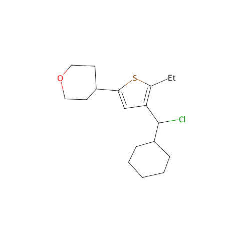 CCc1sc(C2CCOCC2)cc1C(Cl)C1CCCCC1